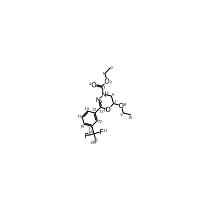 CCOC(=O)N1CC(OCC)OC(c2cccc(C(F)(F)F)c2)=N1